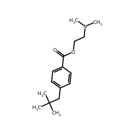 CN(C)CCOC(=O)c1ccc(CC(C)(C)C)cc1